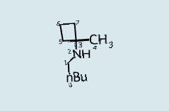 CCCCCNC1(C)CCC1